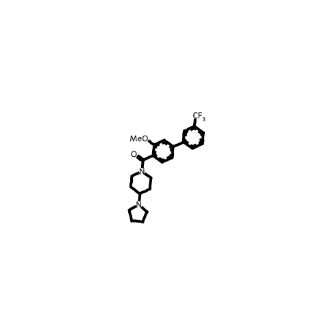 COc1cc(-c2cccc(C(F)(F)F)c2)ccc1C(=O)N1CCC(N2CCCC2)CC1